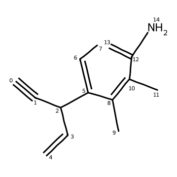 C#CC(C=C)C(=C/C)/C(C)=C(/C)C(=C)N